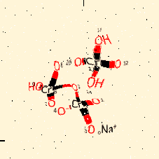 [Na+].[O]=[Cr](=[O])([O-])[O][Cr](=[O])(=[O])[OH].[O]=[Cr](=[O])([OH])[OH]